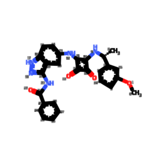 COc1cccc([C@@H](C)Nc2c(Nc3ccc4[nH]nc(NC(=O)c5ccccc5)c4c3)c(=O)c2=O)c1